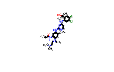 C=CC(=O)Nc1cc(Nc2nccc(Nc3cc(Cl)c(F)cc3C(C)(C)O)n2)c(OC)cc1N(C)CCN(C)C